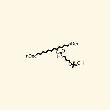 CCCCCCCCCCCCCCCCCC(CCCCCCCCCCCCCC)OC(=O)NCCCOC(C)(C)CO